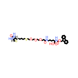 O=C(CCOCCOCCOCCSCCCCC[C@@H]1SC[C@@H]2NC(=O)N[C@@H]21)NCCCCC(NC(=O)OCC1c2ccccc2-c2ccccc21)C(=O)O